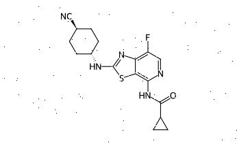 N#C[C@H]1CC[C@H](Nc2nc3c(F)cnc(NC(=O)C4CC4)c3s2)CC1